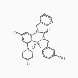 O=C1N(Cc2ccccc2)c2cc(Cl)cc(N3CCNCC3)c2S(=O)(=O)N1Cc1cccc(O)c1